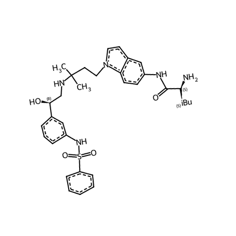 CC[C@H](C)[C@H](N)C(=O)Nc1ccc2c(ccn2CCC(C)(C)NC[C@H](O)c2cccc(NS(=O)(=O)c3ccccc3)c2)c1